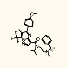 COc1ccc(-c2nc3c(C(=O)N(CCN(C)[C@H](C)c4ccccc4)C(C)C)cnn3c(C(F)(F)F)c2C)cc1